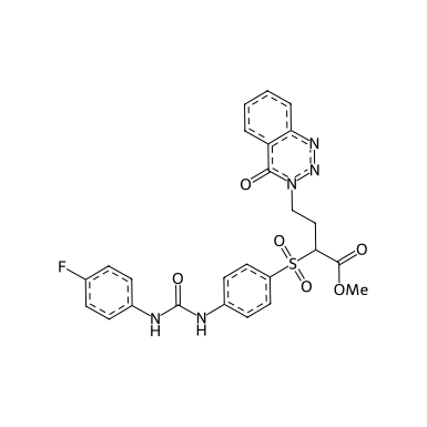 COC(=O)C(CCn1nnc2ccccc2c1=O)S(=O)(=O)c1ccc(NC(=O)Nc2ccc(F)cc2)cc1